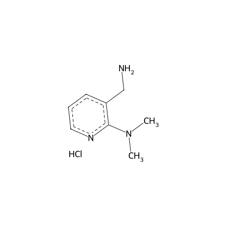 CN(C)c1ncccc1CN.Cl